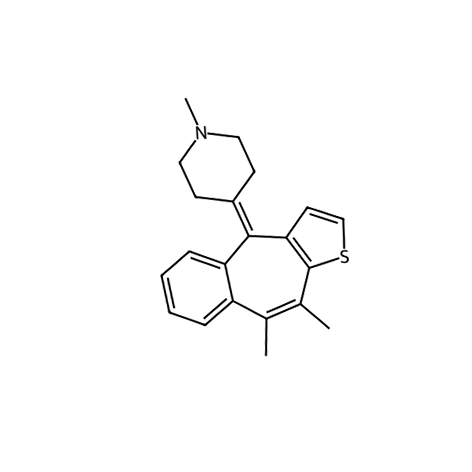 CC1=C(C)c2sccc2C(=C2CCN(C)CC2)c2ccccc21